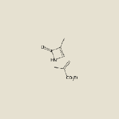 C=C(C)C(=O)OCC.CC1=CNC1=O